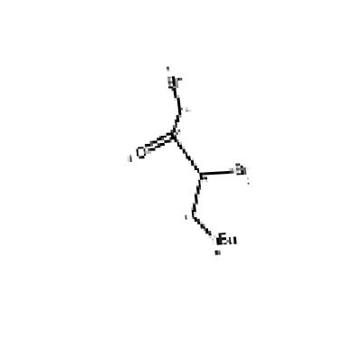 CCCCCC(Br)C(=O)CBr